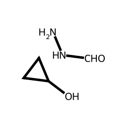 NNC=O.OC1CC1